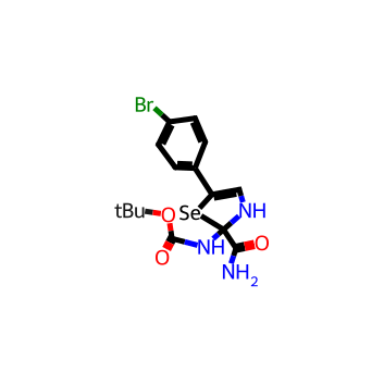 CC(C)(C)OC(=O)NC1(C(N)=O)NC=C(c2ccc(Br)cc2)[Se]1